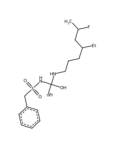 CCCC(O)(NCCCC(CC)CC(C)F)NS(=O)(=O)Cc1ccccc1